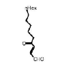 CCCCCCCCCCCC(=O)C=C[C]=O